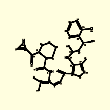 C=C(/C=C\C(NC(=O)C1CCCCC1C(=O)C1=CN1)=C(C)C)C1=C(NC(C)O[C@H](C)c2ccccc2Cl)C(C)=NC1